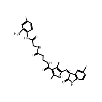 Cc1[nH]c(/C=C2\C(=O)Nc3ccc(F)cc32)c(C)c1C(=O)NCCC(=O)NCC(=O)Nc1ccc(F)cc1N